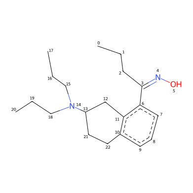 CCC/C(=N/O)c1cccc2c1CC(N(CCC)CCC)CC2